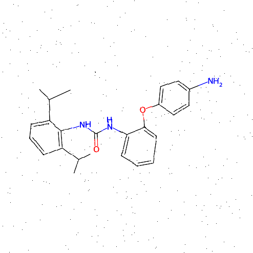 CC(C)c1cccc(C(C)C)c1NC(=O)Nc1ccccc1Oc1ccc(N)cc1